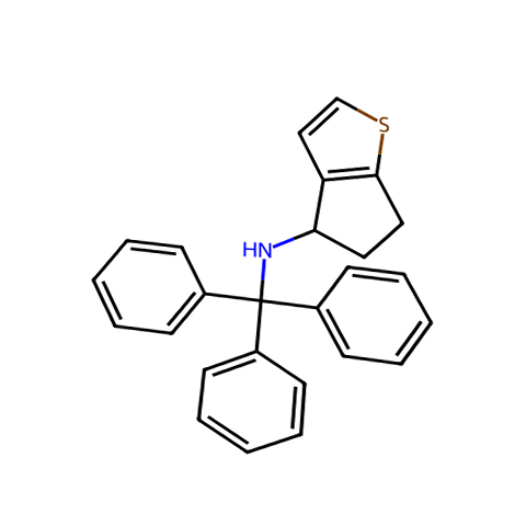 c1ccc(C(NC2CCc3sccc32)(c2ccccc2)c2ccccc2)cc1